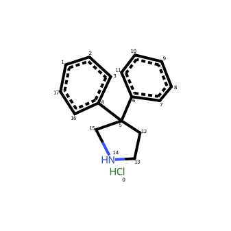 Cl.c1ccc(C2(c3ccccc3)CCNC2)cc1